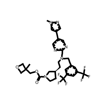 Cn1cc(-c2cnc(N(CC[C@H]3CCN(C(=O)OCC4(C)COC4)C3)Cc3cc(C(F)(F)F)cc(C(F)(F)F)c3)nc2)cn1